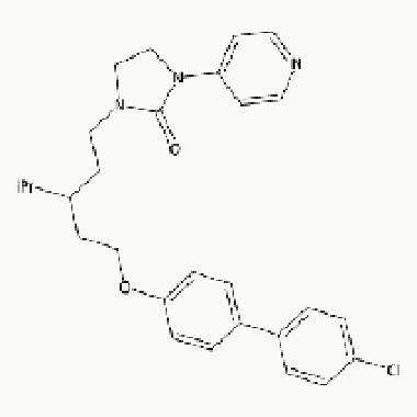 CC(C)C(CCOc1ccc(-c2ccc(Cl)cc2)cc1)CCN1CCN(c2ccncc2)C1=O